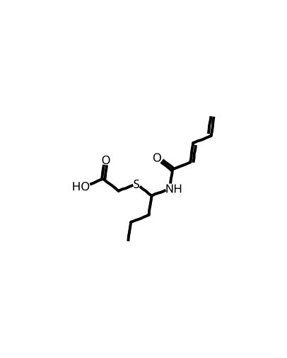 C=CC=CC(=O)NC(CCC)SCC(=O)O